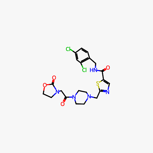 O=C(NCc1ccc(Cl)cc1Cl)c1cnc(CN2CCN(C(=O)CN3CCOC3=O)CC2)s1